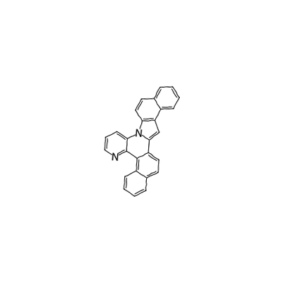 c1ccc2c(c1)ccc1c2cc2c3ccc4ccccc4c3c3ncccc3n12